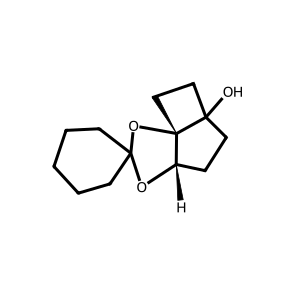 OC12CC[C@@H]3OC4(CCCCC4)O[C@@]31CC2